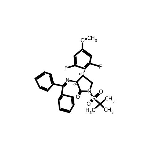 COc1cc(F)c([C@@H]2CN(S(=O)(=O)C(C)(C)C)C(=O)[C@H]2N=C(c2ccccc2)c2ccccc2)c(F)c1